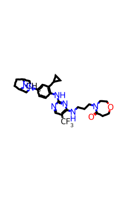 CN1C2CCC1CN(c1ccc(Nc3ncc(C(F)(F)F)c(NCCCN4CCOCCC4=O)n3)c(C3CC3)c1)C2